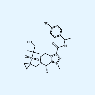 CC(NC(=O)c1nn(C)c2c1CCN(CC1(S(=O)(=O)C(C)(C)CO)CC1)C2=O)c1ccc(C#N)cc1